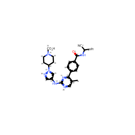 CCCC(C#N)NC(=O)c1ccc(-c2nc(Nc3cnn(C4CCN(C(=O)O)CC4)c3)ncc2C)cc1